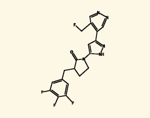 O=C1C(Cc2cc(F)c(F)c(F)c2)CCN1c1cc(-c2cnncc2CF)n[nH]1